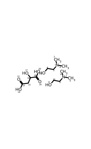 CN(C)CCO.CN(C)CCO.O=C(O)CC(O)C(=O)O